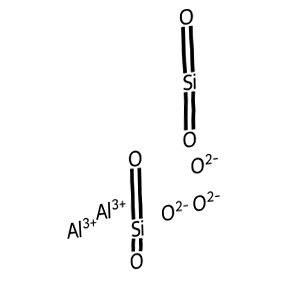 O=[Si]=O.O=[Si]=O.[Al+3].[Al+3].[O-2].[O-2].[O-2]